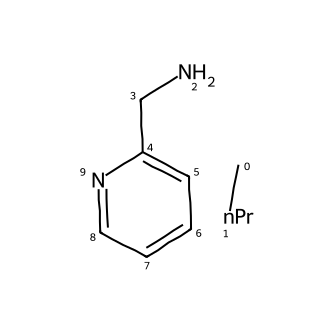 CCCC.NCc1ccccn1